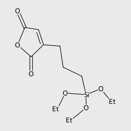 CCO[Si](CCCC1=CC(=O)OC1=O)(OCC)OCC